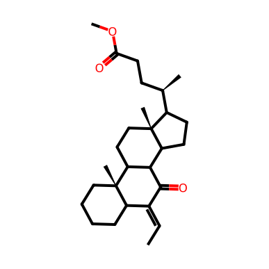 C/C=C1/C(=O)C2C(CC[C@@]3(C)C2CCC3[C@H](C)CCC(=O)OC)[C@@]2(C)CCCCC12